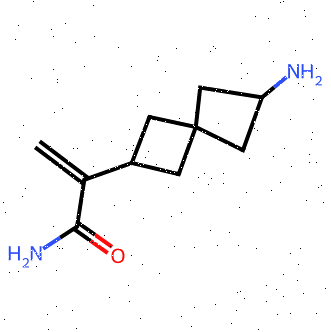 C=C(C(N)=O)C1CC2(CC(N)C2)C1